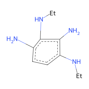 CCNc1ccc(N)c(NCC)c1N